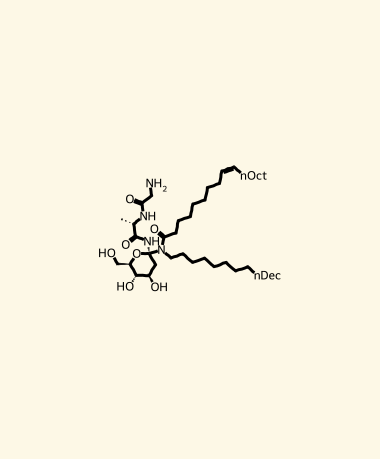 CCCCCCCC/C=C\CCCCCCCC(=O)N(CCCCCCCCCCCCCCCCCC)[C@@]1(NC(=O)[C@H](C)NC(=O)CN)C[C@@H](O)[C@H](O)[C@@H](CO)O1